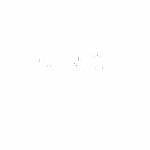 COc1nn(-c2ccc(OC(F)(F)F)cc2)cc1C(O)C1CCCCC1